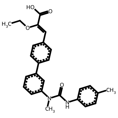 CCO/C(=C\c1ccc(-c2cccc(N(C)C(=O)Nc3ccc(C)cc3)c2)cc1)C(=O)O